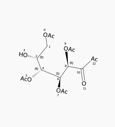 CC(=O)OC[C@@H](O)[C@@H](OC(C)=O)[C@H](OC(C)=O)[C@@H](OC(C)=O)C(=O)C(C)=O